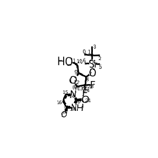 CC(C)(C)[Si](C)(C)OC1C(CO)O[C@@H](n2ccc(=O)[nH]c2=O)C1(F)F